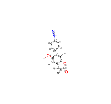 COc1c(C)c2c(c(C)c1-c1ccc([N+]#N)cc1)OC(=O)C2(C)C